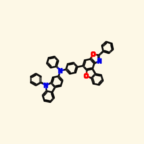 c1ccc(-c2nc3c(cc(-c4ccc(N(c5ccccc5)c5ccc6c7ccccc7n(-c7ccccc7)c6c5)cc4)c4oc5ccccc5c43)o2)cc1